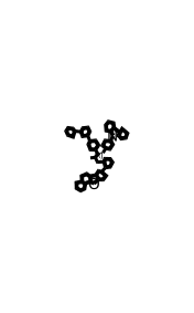 CC(Cc1ccccc1-c1ccc2oc3c4ccccc4ccc3c2c1)[C@@H](Cc1ccc(-n2c3ccccc3c3ccccc32)cc1)c1ccc(-c2cccc(-c3ccccc3)c2)cc1